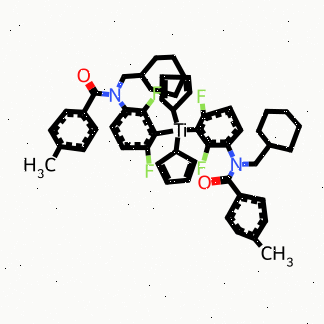 Cc1ccc(C(=O)N(CC2CCCCC2)c2ccc(F)[c]([Ti]([c]3c(F)ccc(N(CC4CCCCC4)C(=O)c4ccc(C)cc4)c3F)([CH]3C=CC=C3)[CH]3C=CC=C3)c2F)cc1